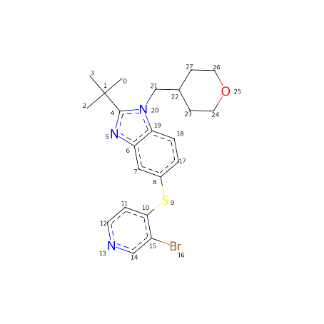 CC(C)(C)c1nc2cc(Sc3ccncc3Br)ccc2n1CC1CCOCC1